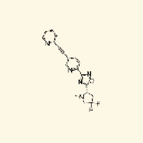 CN1CC(F)(F)C[C@H]1c1nc(-c2ccc(C#Cc3ccccn3)cn2)no1